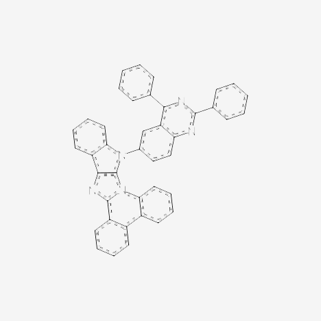 c1ccc(-c2nc(-c3ccccc3)c3cc(-n4c5ccccc5c5nc6c7ccccc7c7ccccc7n6c54)ccc3n2)cc1